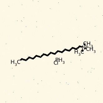 CCCCCCCCCCCCCCCCCC[N+](C)(C)C.P.[Cl-]